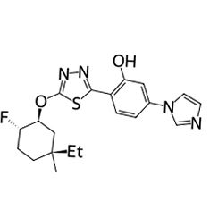 CC[C@@]1(C)CC[C@H](F)[C@@H](Oc2nnc(-c3ccc(-n4ccnc4)cc3O)s2)C1